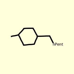 CCCCCC[C]1CCC(C)CC1